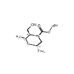 CCCCOC(=O)N1C[C@H](C)O[C@@H](C)[C@H]1CO